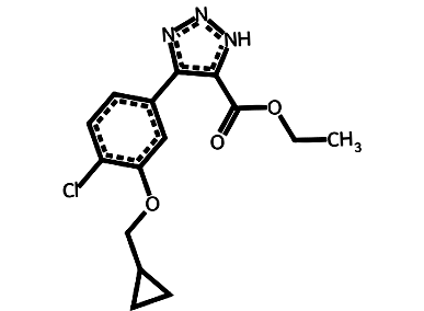 CCOC(=O)c1[nH]nnc1-c1ccc(Cl)c(OCC2CC2)c1